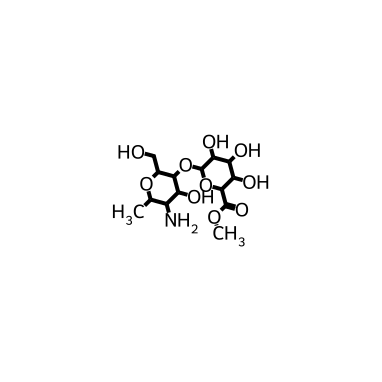 COC(=O)C1OC(OC2C(CO)OC(C)C(N)C2O)C(O)C(O)C1O